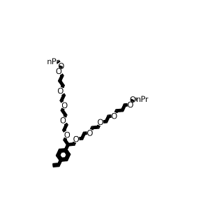 C=Cc1ccc(C(COCCOCCOCCOCCCOOCCC)COCCOCCOCCOCCCOOCCC)cc1